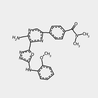 COc1ccccc1Nc1nnc(-c2nc(-c3ccc(C(=O)N(C)C)cc3)cnc2N)o1